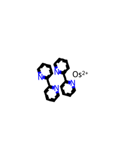 [Os+2].c1ccc(-c2ccccn2)nc1.c1ccc(-c2ccccn2)nc1